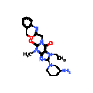 CCn1c(N2CCCC(N)C2)nc2c1c(=O)n(CC1=Nc3ccccc3CO1)c(=O)n2C